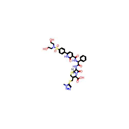 Cn1nncc1SCC1=C(C(=O)O)N2C(=O)C(NC(=O)C(NC(=O)c3ccc(-c4ccc(S(=O)(=O)N(CCO)CCO)cc4)[nH]c3=O)c3ccccc3)[C@@H]2SC1